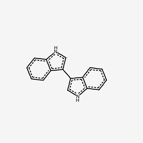 [c]1[nH]c2ccccc2c1-c1c[nH]c2ccccc12